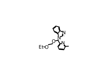 CCOCCOC(c1cccc(C)n1)n1[c]nc2ccccc21